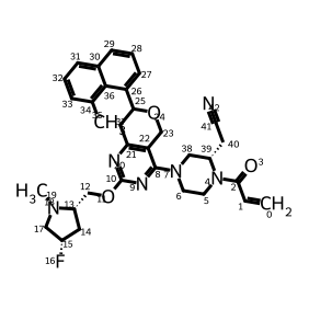 C=CC(=O)N1CCN(c2nc(OC[C@@H]3C[C@H](F)CN3C)nc3c2COC(c2cccc4cccc(C)c24)C3)C[C@@H]1CC#N